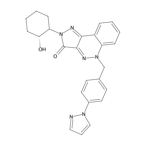 O=c1c2nn(Cc3ccc(-n4cccn4)cc3)c3ccccc3c-2nn1C1CCCC[C@H]1O